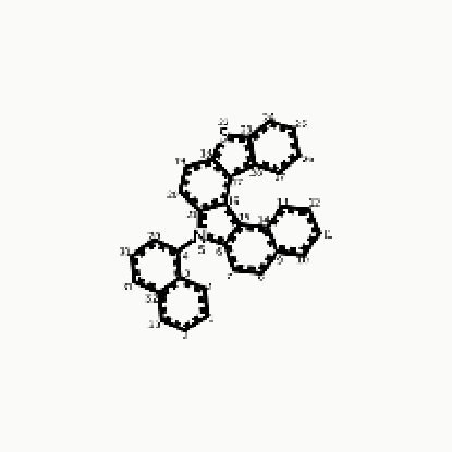 c1ccc2c(-n3c4ccc5ccccc5c4c4c5c(ccc43)sc3ccccc35)cccc2c1